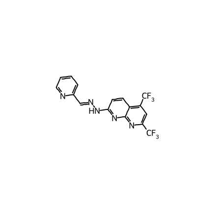 FC(F)(F)c1cc(C(F)(F)F)c2ccc(NN=Cc3ccccn3)nc2n1